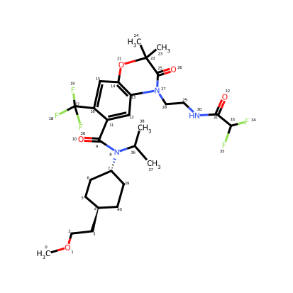 COCC[C@H]1CC[C@H](N(C(=O)c2cc3c(cc2C(F)(F)F)OC(C)(C)C(=O)N3CCNC(=O)C(F)F)C(C)C)CC1